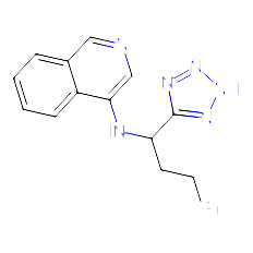 CC(C)CCC(Nc1cncc2ccccc12)c1nn[nH]n1